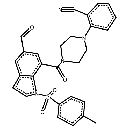 Cc1ccc(S(=O)(=O)n2ccc3cc(C=O)cc(C(=O)N4CCN(c5ccccc5C#N)CC4)c32)cc1